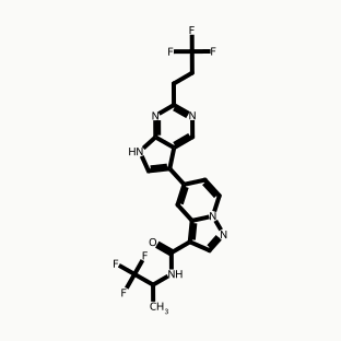 CC(NC(=O)c1cnn2ccc(-c3c[nH]c4nc(CCC(F)(F)F)ncc34)cc12)C(F)(F)F